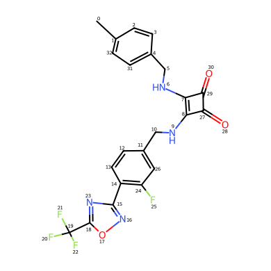 Cc1ccc(CNc2c(NCc3ccc(-c4noc(C(F)(F)F)n4)c(F)c3)c(=O)c2=O)cc1